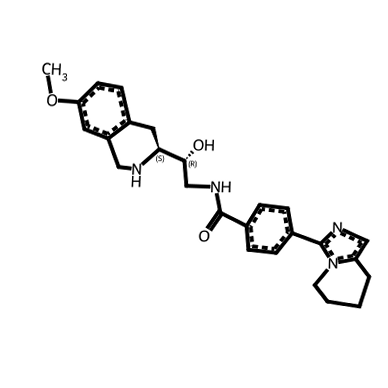 COc1ccc2c(c1)CN[C@H]([C@H](O)CNC(=O)c1ccc(-c3ncc4n3CCCC4)cc1)C2